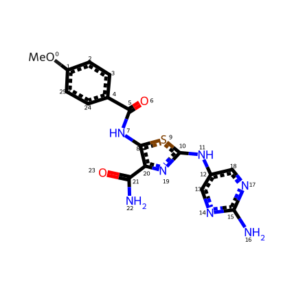 COc1ccc(C(=O)Nc2sc(Nc3cnc(N)nc3)nc2C(N)=O)cc1